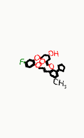 Cc1cc(CCCOc2ccc(F)cc2)c(OCC2CC(O)CC(=O)O2)c(C2CCCC2)c1